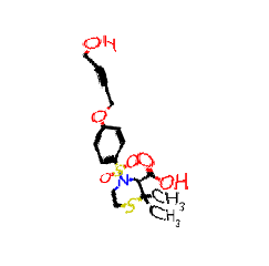 CC1(C)SCCN(S(=O)(=O)c2ccc(OCC#CCO)cc2)[C@H]1C(=O)O